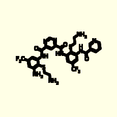 NCCSc1c(N)cc(C(F)(F)F)cc1NC(=O)c1cc(C(=O)Nc2cc(C(F)(F)F)cc(NC(=O)c3cccnc3)c2SCCN)ncn1